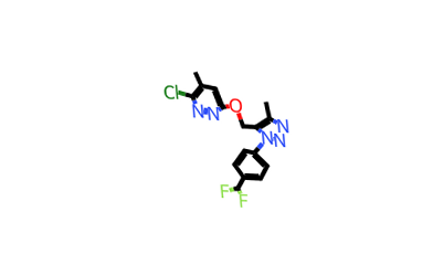 Cc1cc(OCc2c(C)nnn2-c2ccc(C(F)F)cc2)nnc1Cl